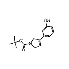 CC(C)(C)OC(=O)N1CC=C(c2cccc(O)c2)C1